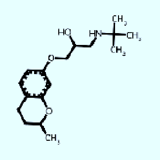 CC1CCc2ccc(OCC(O)CNC(C)(C)C)cc2O1